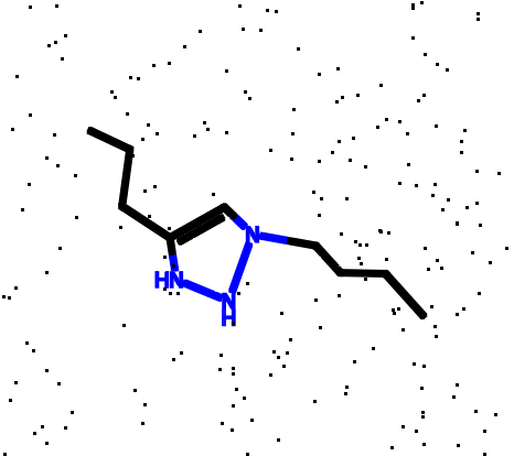 CCCCN1C=C(CCC)NN1